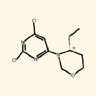 CC[C@@H]1CCOCN1c1cc(Cl)nc(Cl)n1